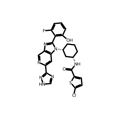 O=C(N[C@H]1CCC[C@@H](n2c(-c3c(O)cccc3F)nc3cnc(-c4nc[nH]n4)cc32)C1)c1ccc(Cl)s1